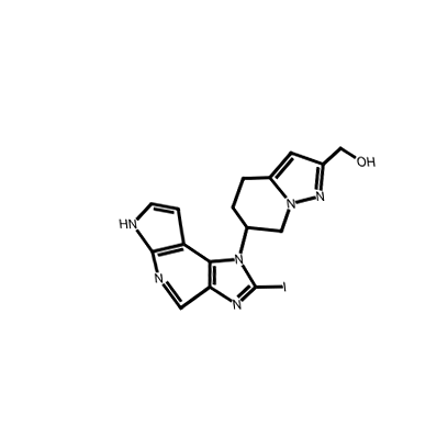 OCc1cc2n(n1)CC(n1c(I)nc3cnc4[nH]ccc4c31)CC2